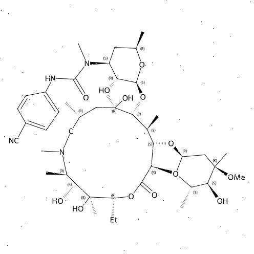 CC[C@H]1OC(=O)[C@H](C)[C@@H](O[C@H]2C[C@@](C)(OC)[C@@H](O)[C@H](C)O2)[C@H](C)[C@@H](O[C@@H]2O[C@H](C)C[C@H](N(C)C(=O)Nc3ccc(C#N)cc3)[C@H]2O)[C@](C)(O)C[C@@H](C)CN(C)[C@H](C)[C@@H](O)[C@]1(C)O